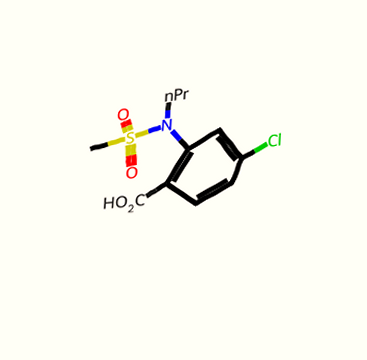 CCCN(c1cc(Cl)ccc1C(=O)O)S(C)(=O)=O